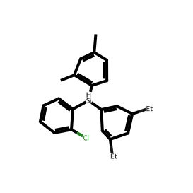 CCc1cc(CC)cc([SiH](c2ccc(C)cc2C)c2ccccc2Cl)c1